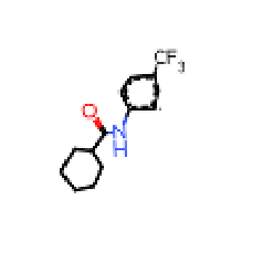 O=C(Nc1[c]cc(C(F)(F)F)cc1)C1CCCCC1